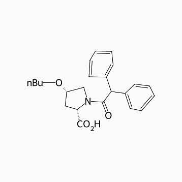 CCCCO[C@H]1C[C@@H](C(=O)O)N(C(=O)C(c2ccccc2)c2ccccc2)C1